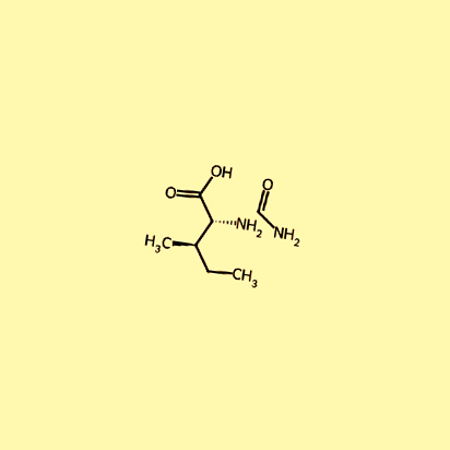 CC[C@@H](C)[C@@H](N)C(=O)O.NC=O